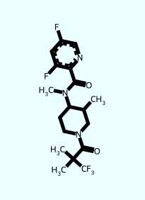 CC1CN(C(=O)C(C)(C)C(F)(F)F)CCC1N(C)C(=O)c1ncc(F)cc1F